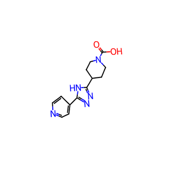 O=C(O)N1CCC(c2nnc(-c3ccncc3)[nH]2)CC1